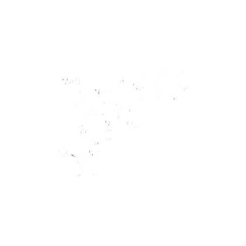 COc1ccc2c(n1)C1(CCN(Cc3ccccc3)CC1)C(=O)N2CC(=O)N1CCC[C@H]1C(F)(F)F